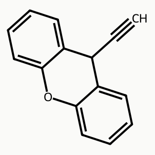 C#CC1c2ccccc2Oc2ccccc21